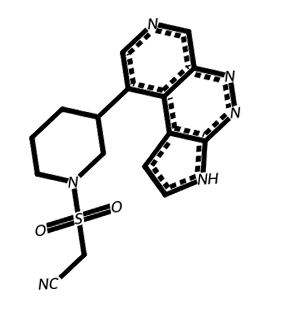 N#CCS(=O)(=O)N1CCCC(c2cncc3nnc4[nH]ccc4c23)C1